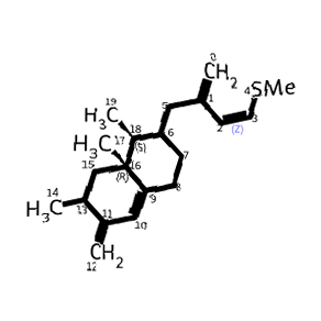 C=C(/C=C\SC)CC1CCC2=CC(=C)C(C)C[C@]2(C)[C@H]1C